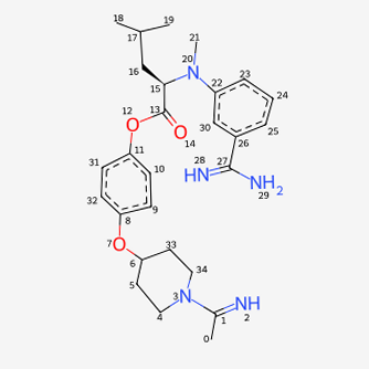 CC(=N)N1CCC(Oc2ccc(OC(=O)[C@@H](CC(C)C)N(C)c3cccc(C(=N)N)c3)cc2)CC1